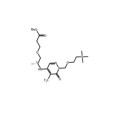 COC(=O)CCOC[C@@H](C)Nc1cnn(COCC[Si](C)(C)C)c(=O)c1C(F)(F)F